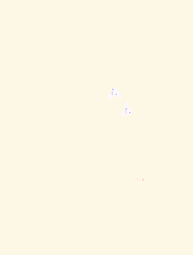 c1ccc(-c2cc(-c3ccccc3)cc(-c3cc(-c4ccc5c(ccc6c7ccccc7oc56)c4)nc(-c4ccccc4)n3)c2)cc1